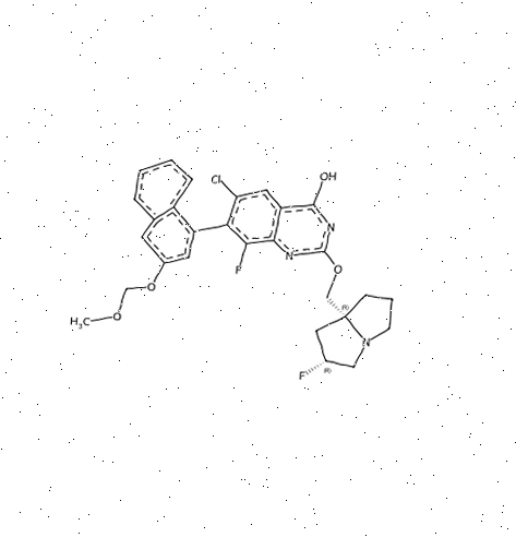 COCOc1cc(-c2c(Cl)cc3c(O)nc(OC[C@]45CCCN4C[C@H](F)C5)nc3c2F)c2ccccc2c1